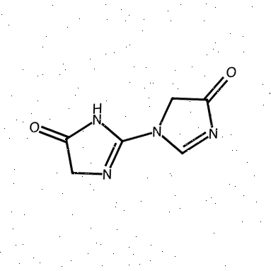 O=C1CN(C2=NCC(=O)N2)C=N1